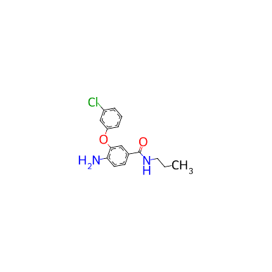 CCCNC(=O)c1ccc(N)c(Oc2cccc(Cl)c2)c1